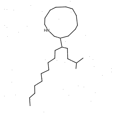 CCCCCCCCCCC(CCC(C)C)C1CCCCCCCCCCNC1